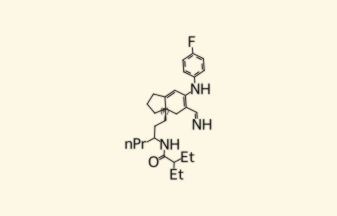 CCCC(CC[C@@]12CCCC1=CC(Nc1ccc(F)cc1)=C(C=N)C2)NC(=O)C(CC)CC